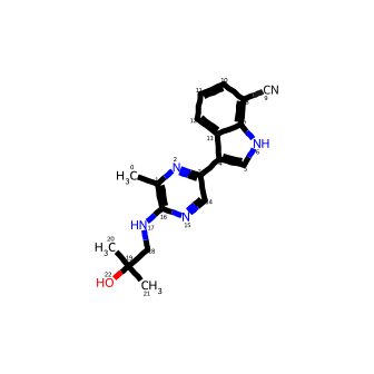 Cc1nc(-c2c[nH]c3c(C#N)cccc23)cnc1NCC(C)(C)O